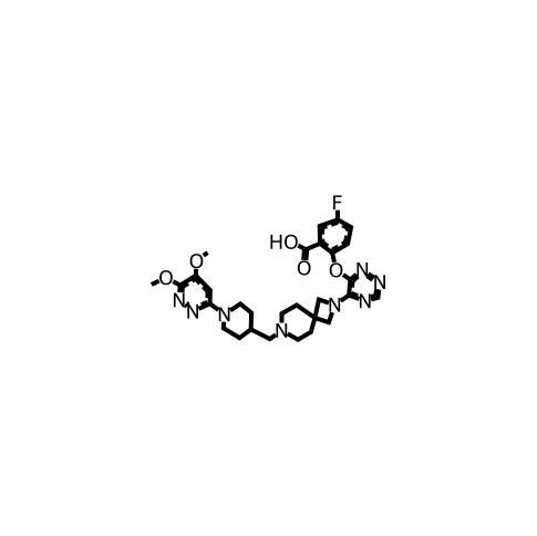 COc1cc(N2CCC(CN3CCC4(CC3)CN(c3ncnnc3Oc3ccc(F)cc3C(=O)O)C4)CC2)nnc1OC